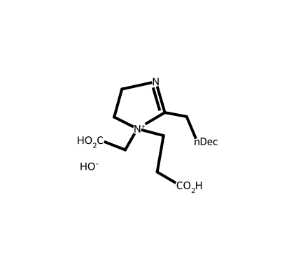 CCCCCCCCCCCC1=NCC[N+]1(CCC(=O)O)CC(=O)O.[OH-]